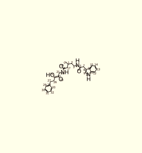 CC(CCNC(=O)Cc1c[nH]c2ccccc12)CC(=O)NCC(=O)C(O)CCc1ccccc1